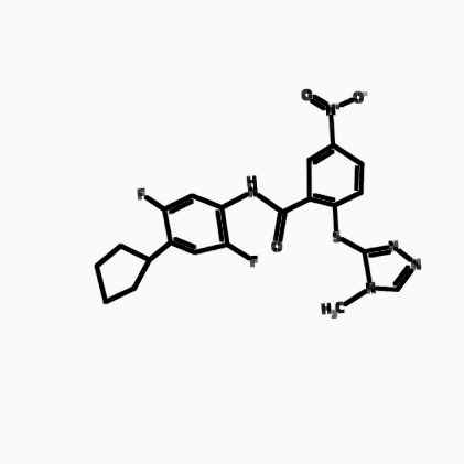 Cn1cnnc1Sc1ccc([N+](=O)[O-])cc1C(=O)Nc1cc(F)c(C2CCCC2)cc1F